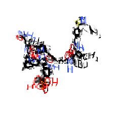 Cc1ncsc1-c1ccc(CNC(=O)[C@@H]2C[C@@H](C)CC2C(=O)[C@@H](NC(=O)CCCC#Cc2ccc(CO[C@H](C)[C@H](CCC(N)=O)NC(=O)[C@@H]3Cc4cccc5c4N3C(=O)[C@@H](NC(=O)c3cc4cc(C(=O)P(=O)(O)O)ccc4[nH]3)CC5)cc2)C(C)(C)C)cc1